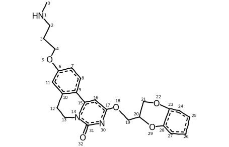 CNCCCOc1ccc2c(c1)CCn1c-2cc(OCC2COc3ccccc3O2)nc1=O